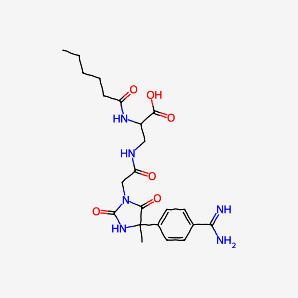 CCCCCC(=O)NC(CNC(=O)CN1C(=O)NC(C)(c2ccc(C(=N)N)cc2)C1=O)C(=O)O